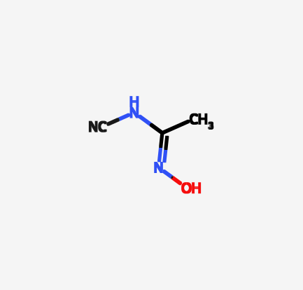 CC(=NO)NC#N